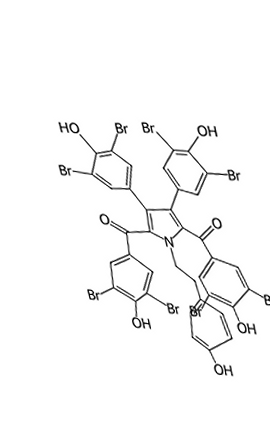 O=C(c1cc(Br)c(O)c(Br)c1)c1c(-c2cc(Br)c(O)c(Br)c2)c(-c2cc(Br)c(O)c(Br)c2)c(C(=O)c2cc(Br)c(O)c(Br)c2)n1CCc1ccc(O)cc1